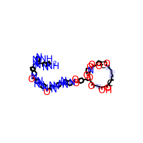 COC1CC2CCCC(O2)C(=O)C(=O)N2CCCCC2C(=O)OC(CCC2CCC(OC(=O)N3CCc4nc(N5CCN(c6ncc(C(=O)N7CCN(c8ncc(C(=O)N9CCc%10cc(Cn%11nc(-c%12cnc%13[nH]ccc%13c%12)c%12c(N)ncnc%12%11)ccc%10C9)cn8)CC7)cn6)CC5)ncc4C3)CC2)CC(=O)C(C)/C=C(\C)C(O)CC(=O)C(C)CC(C)/C=C/C=C/C=C/1C